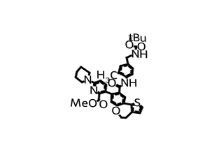 COC(=O)c1nc(N2CCCCC2)ccc1-c1cc2c(cc1C(=O)Nc1ccc(CNC(=O)OC(C)(C)C)cc1C)-c1sccc1CCO2